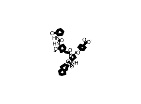 COC(=O)c1ccc(OC[C@@H]2C[C@H](NS(=O)(=O)c3ccc4ccccc4c3)CN2C(=O)Cc2ccc(NC(=O)Nc3ccccc3Cl)c(OC)c2)cc1